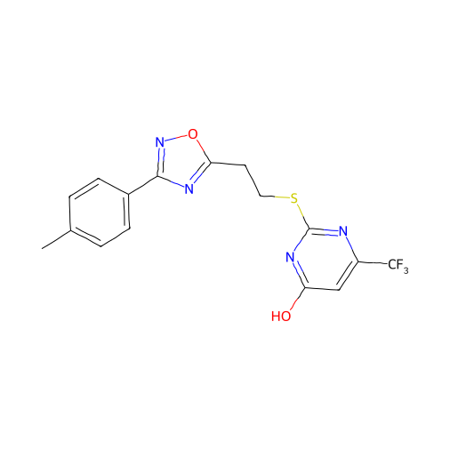 Cc1ccc(-c2noc(CCSc3nc(O)cc(C(F)(F)F)n3)n2)cc1